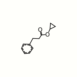 O=C(CCc1ccccc1)OC1CC1